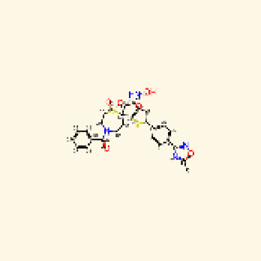 Cc1nc(-c2ccc(-c3ccc(C4(CC(=O)NO)CCN(C(=O)c5ccccc5)CCS4(=O)=O)s3)cc2)no1